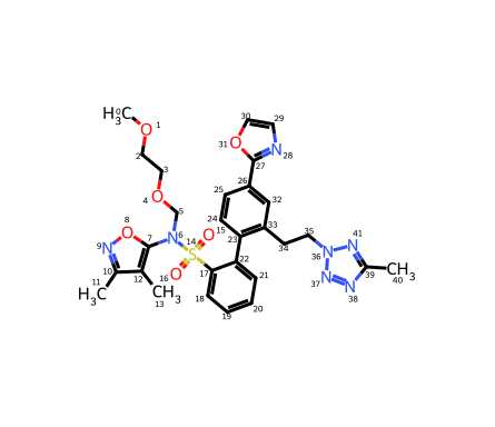 COCCOCN(c1onc(C)c1C)S(=O)(=O)c1ccccc1-c1ccc(-c2ncco2)cc1CCn1nnc(C)n1